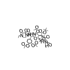 CCN1CCN(N(C=O)C(C(=O)NC(OC(C)=O)C2=C(C(=O)OC(C)(C)C)N3C(=O)[C@H](NC=O)[C@H]3SC2)c2ccc(OC(C)=O)c(OC(C)=O)c2)C(=O)C1=O